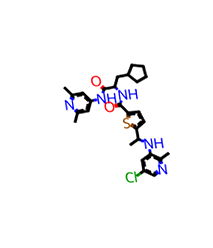 Cc1cc(NC(=O)C(CC2CCCC2)NC(=O)c2ccc(C(C)Nc3cc(Cl)cnc3C)s2)cc(C)n1